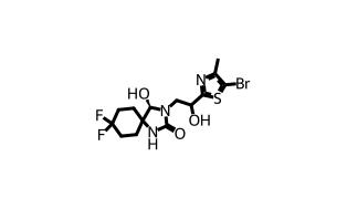 Cc1nc(C(O)CN2C(=O)NC3(CCC(F)(F)CC3)[C@H]2O)sc1Br